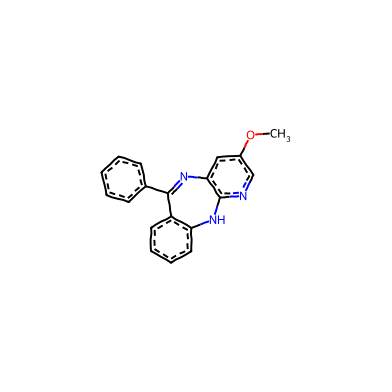 COc1cnc2c(c1)N=C(c1ccccc1)c1ccccc1N2